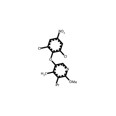 COc1ncc(Oc2c(Cl)cc([N+](=O)[O-])cc2Cl)c(C)c1C(C)C